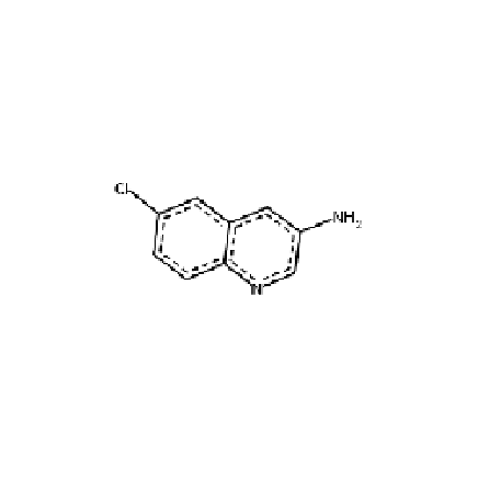 Nc1cnc2ccc(Cl)cc2c1